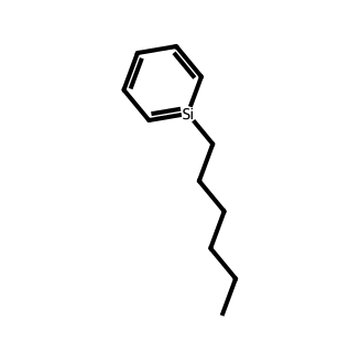 CCCCCC[si]1ccccc1